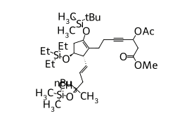 CCCCC(C)(C/C=C/[C@H]1C(CCC#CC(CC(=O)OC)OC(C)=O)=C(O[Si](C)(C)C(C)(C)C)C[C@@H]1O[Si](CC)(CC)CC)O[Si](C)(C)C